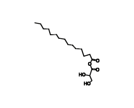 CCCCCCCCCCCCCCC(=O)OC(=O)C(O)CO